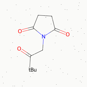 CC(C)(C)C(=O)CN1C(=O)CCC1=O